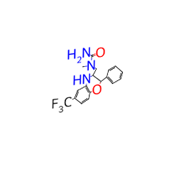 CN(CC1Nc2cc(C(F)(F)F)ccc2OC1c1ccccc1)C(N)=O